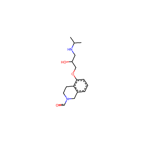 CC(C)NCC(O)COc1cccc2c1CCN(C=O)C2